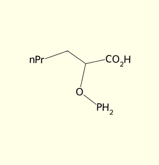 CCCCC(OP)C(=O)O